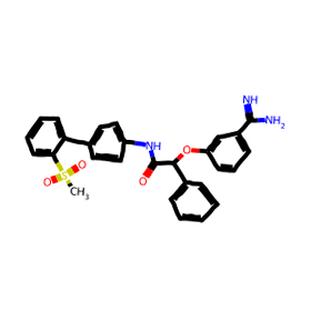 CS(=O)(=O)c1ccccc1-c1ccc(NC(=O)C(Oc2cccc(C(=N)N)c2)c2ccccc2)cc1